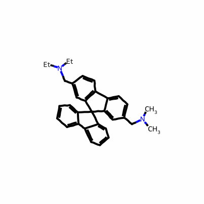 CCN(CC)Cc1ccc2c(c1)C1(c3ccccc3-c3ccccc31)c1cc(CN(C)C)ccc1-2